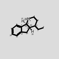 CCC1CCN[C@@H]2c3ccccc3C[C@@H]12